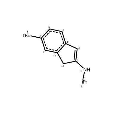 CC(C)NC1=Cc2ccc(C(C)(C)C)cc2C1